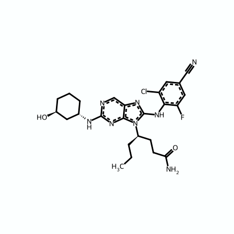 CCC[C@H](CCC(N)=O)n1c(Nc2c(F)cc(C#N)cc2Cl)nc2cnc(N[C@H]3CCC[C@H](O)C3)nc21